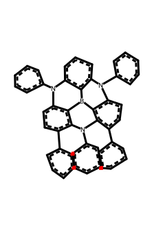 c1ccc(-c2ccc3c4c2N(c2ccccc2)c2c(-c5ccccc5)ccc5c2B4c2c(cccc2N5c2ccccc2)N3c2ccccc2)cc1